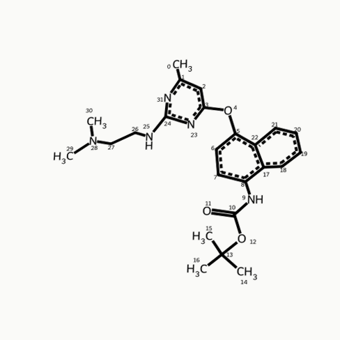 Cc1cc(Oc2ccc(NC(=O)OC(C)(C)C)c3ccccc23)nc(NCCN(C)C)n1